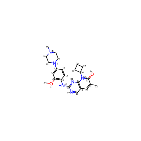 COc1cc(N2CCN(C)CC2)ccc1Nc1ncc2cc(C)c(=O)n(C3CCC3)c2n1